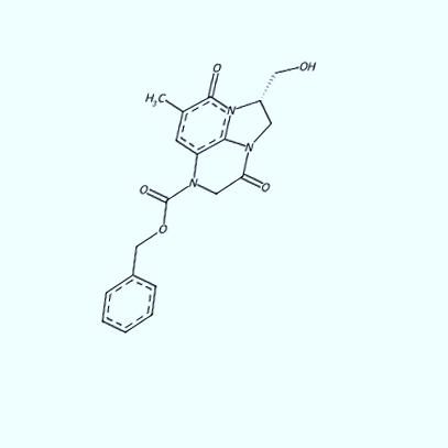 Cc1cc2c3n(c1=O)[C@H](CO)CN3C(=O)CN2C(=O)OCc1ccccc1